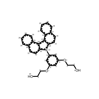 OCCOc1cc(OCCO)cc(-n2c3ccc4ccccc4c3c3c4ccccc4ccc32)c1